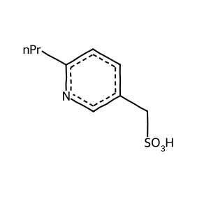 CCCc1ccc(CS(=O)(=O)O)cn1